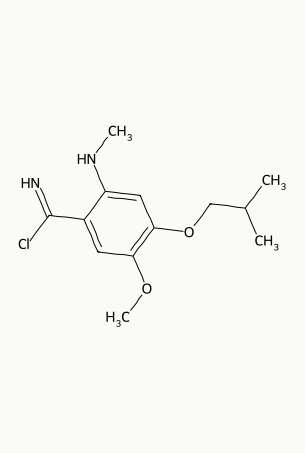 CNc1cc(OCC(C)C)c(OC)cc1C(=N)Cl